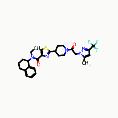 CCN(C(=O)c1csc(C2CCN(C(=O)Cn3nc(C(F)(F)F)cc3C)CC2)n1)C1CCCc2ccccc21